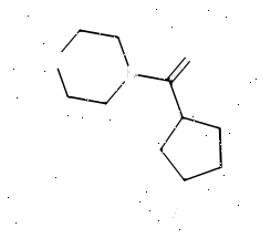 C[C@H]1CCC(C(=O)N2CCOCC2)C1